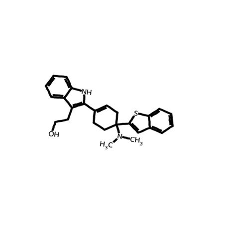 CN(C)C1(c2cc3ccccc3s2)CC=C(c2[nH]c3ccccc3c2CCO)CC1